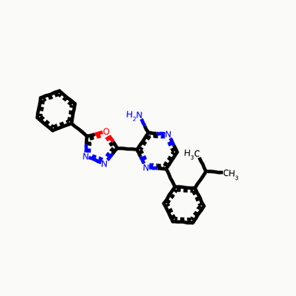 CC(C)c1ccccc1-c1cnc(N)c(-c2nnc(-c3ccccc3)o2)n1